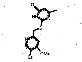 CCc1cnc(CSc2nc(C)cc(=O)[nH]2)cc1OC